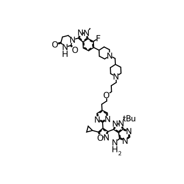 Cn1nc(N2CCC(=O)NC2=O)c2ccc(C3CCN(CC4CCN(CCCOCCc5cnc(-c6c(-c7nn(C(C)(C)C)c8ncnc(N)c78)noc6C6CC6)nc5)CC4)CC3)c(F)c21